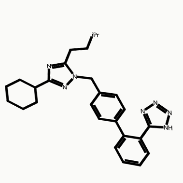 CC(C)CCc1nc(C2CCCCC2)nn1Cc1ccc(-c2ccccc2-c2nnn[nH]2)cc1